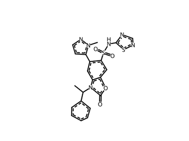 CC(c1ccccc1)n1c(=O)oc2cc(S(=O)(=O)Nc3ncns3)c(-c3ccnn3C)cc21